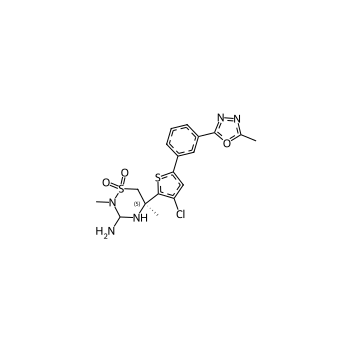 Cc1nnc(-c2cccc(-c3cc(Cl)c([C@]4(C)CS(=O)(=O)N(C)C(N)N4)s3)c2)o1